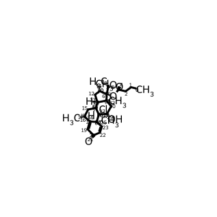 CCCC(=O)O[C@]1(C(C)=O)[C@@H](C)C[C@H]2[C@@H]3C[C@H](C)C4=CC(=O)C=C[C@]4(C)[C@@]3(Cl)[C@@H](O)C[C@@]21C